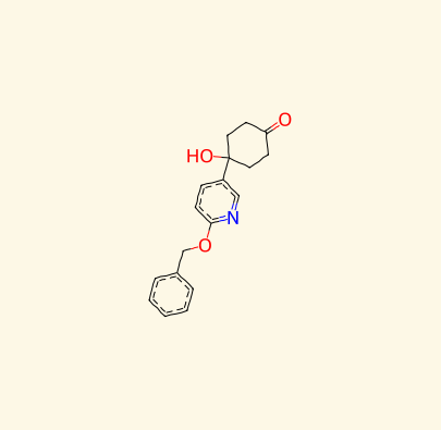 O=C1CCC(O)(c2ccc(OCc3ccccc3)nc2)CC1